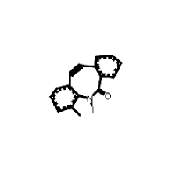 Cc1cccc2c1N(I)C(=O)c1ccccc1C#C2